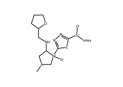 CCCCCC[S+]([O-])c1nnc([N+]2([O-])CN(C)CC2NCC2CCCO2)s1